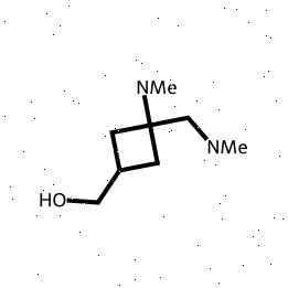 CNCC1(NC)CC(CO)C1